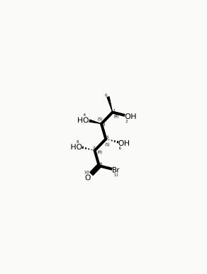 C[C@@H](O)[C@H](O)[C@H](O)[C@@H](O)C(=O)Br